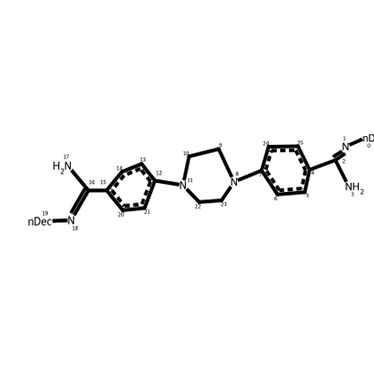 CCCCCCCCCCN=C(N)c1ccc(N2CCN(c3ccc(C(N)=NCCCCCCCCCC)cc3)CC2)cc1